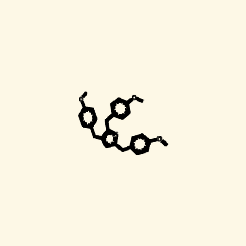 COc1ccc(Cc2cc(Cc3ccc(OC)cc3)c(Cc3ccc(OC)cc3)s2)cc1